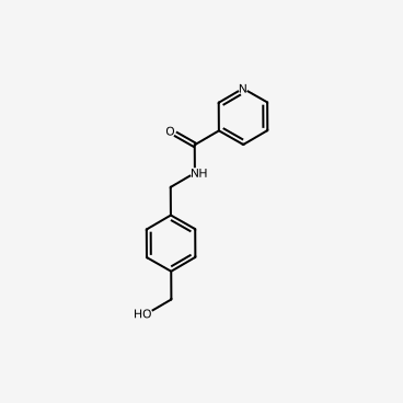 O=C(NCc1ccc(CO)cc1)c1cccnc1